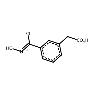 O=C(O)Cc1cccc(/C(Cl)=N/O)c1